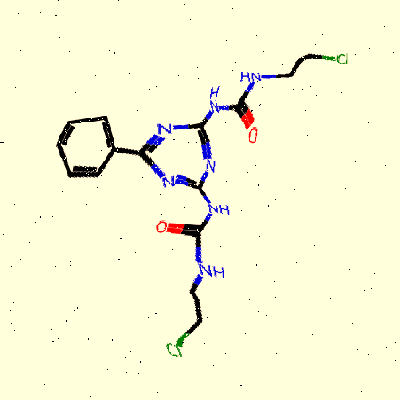 O=C(NCCCl)Nc1nc(NC(=O)NCCCl)nc(-c2ccccc2)n1